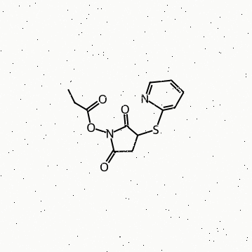 CCC(=O)ON1C(=O)CC(Sc2ccccn2)C1=O